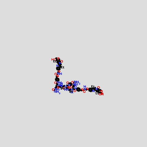 C=C1OCc2c(cc3n(c2=O)Cc2c-3nc3ccc(OCNC(=O)OCc4ccc(NC(=O)[C@H](CCCNC(N)=O)NC(=O)[C@@H](NC(=O)CN(CCN5C(=O)C=CC5=O)CC(=O)N[C@H](C(=O)N[C@@H](CCCNC(N)=O)C(=O)Nc5ccc(COC(=O)NCOc6ccc7nc8c(c(CC)c7c6)Cn6c-8cc7c(c6=O)COC(=O)[C@]7(O)CC)cc5)C(C)C)C(C)C)cc4)cc3c2CC)[C@@]1(O)CC